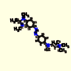 CCN(CC[N+](C)(C)C)c1ccc(N=Nc2ccc3c(c2)N(C)C(C)N3C)cc1